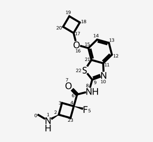 CN[C@H]1C[C@](F)(C(=O)Nc2nc3cccc(OC4CCC4)c3s2)C1